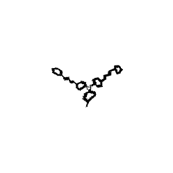 Cc1ccc(N(c2ccc(/C=C/C=C/C3=CCCC=C3)cc2)c2ccc(/C=C/C=C/c3ccccc3)cc2)cc1